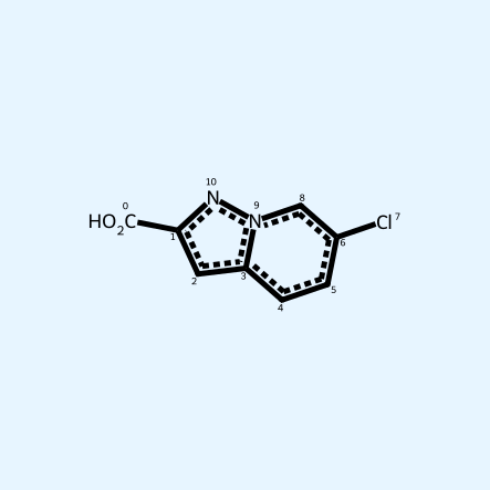 O=C(O)c1cc2ccc(Cl)cn2n1